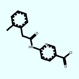 Cc1ccccc1CC(=O)Nc1ccc(C(=O)Cl)cn1